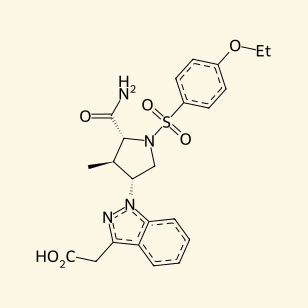 CCOc1ccc(S(=O)(=O)N2C[C@H](n3nc(CC(=O)O)c4ccccc43)[C@@H](C)[C@@H]2C(N)=O)cc1